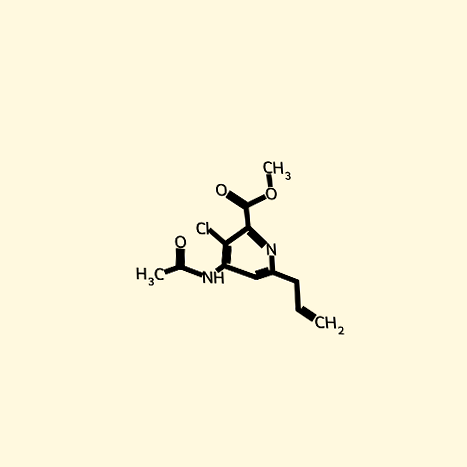 C=CCc1cc(NC(C)=O)c(Cl)c(C(=O)OC)n1